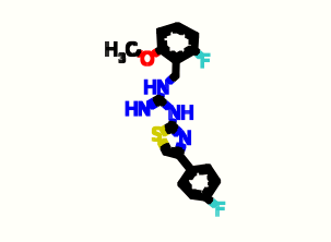 COc1cccc(F)c1CNC(=N)Nc1nc(-c2ccc(F)cc2)cs1